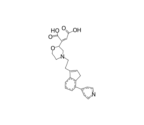 O=C(O)C=C(C(=O)O)C1CN(CCC2=CCc3c2cccc3-c2ccncc2)CCO1